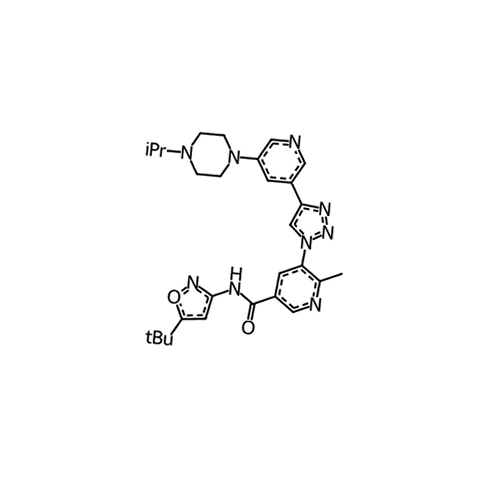 Cc1ncc(C(=O)Nc2cc(C(C)(C)C)on2)cc1-n1cc(-c2cncc(N3CCN(C(C)C)CC3)c2)nn1